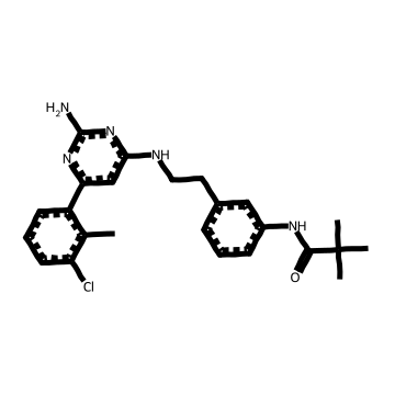 Cc1c(Cl)cccc1-c1cc(NCCc2cccc(NC(=O)C(C)(C)C)c2)nc(N)n1